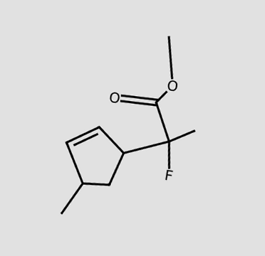 COC(=O)C(C)(F)C1C=CC(C)C1